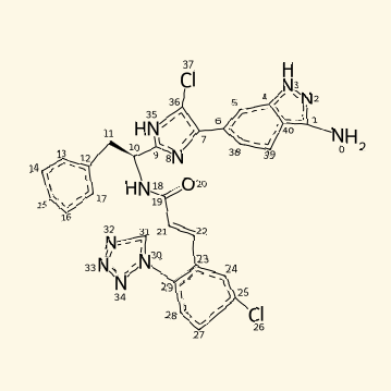 Nc1n[nH]c2cc(-c3nc([C@H](Cc4ccccc4)NC(=O)C=Cc4cc(Cl)ccc4-n4cnnn4)[nH]c3Cl)ccc12